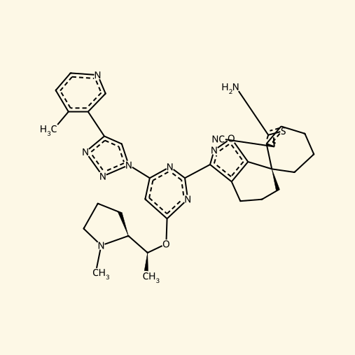 Cc1ccncc1-c1cn(-c2cc(O[C@@H](C)[C@@H]3CCCN3C)nc(-c3noc4c3CCC[C@@]43CCCc4sc(N)c(C#N)c43)n2)nn1